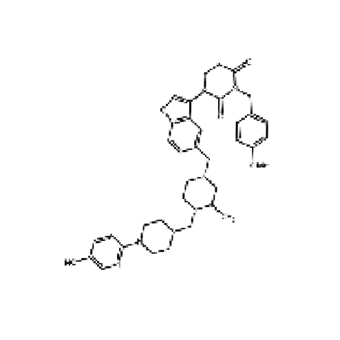 COc1ccc(CN2C(=O)CCN(c3coc4ccc(CN5CCN(CC6CCN(c7ccc(C#N)cn7)CC6)C(C)C5)cc34)C2=O)cc1